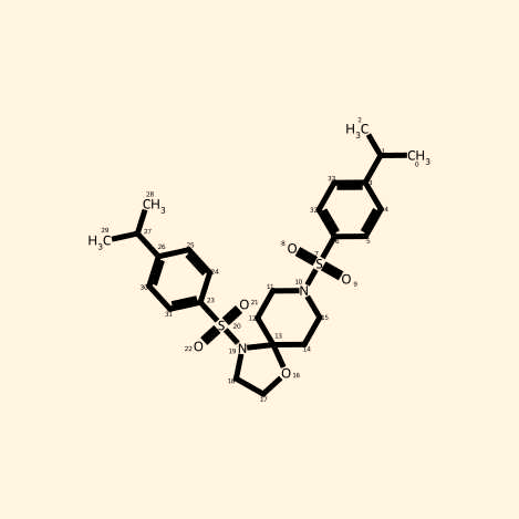 CC(C)c1ccc(S(=O)(=O)N2CCC3(CC2)OCCN3S(=O)(=O)c2ccc(C(C)C)cc2)cc1